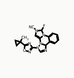 CC1(c2nc(N3C=NC4c5ccccc5N5C(=CN(C#N)C5F)N43)no2)CC1